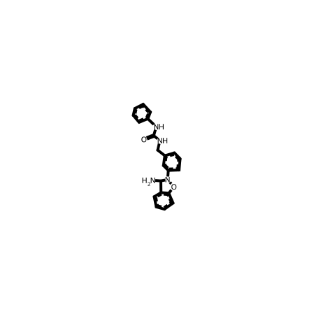 NC1c2ccccc2ON1c1cccc(CNC(=O)Nc2ccccc2)c1